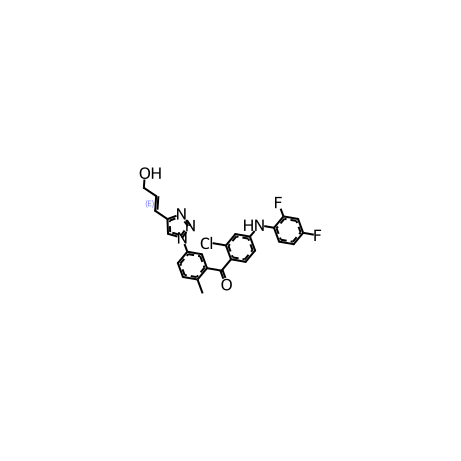 Cc1ccc(-n2cc(/C=C/CO)nn2)cc1C(=O)c1ccc(Nc2ccc(F)cc2F)cc1Cl